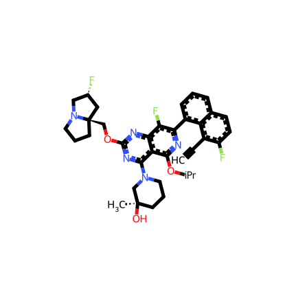 C#Cc1c(F)ccc2cccc(-c3nc(OC(C)C)c4c(N5CCC[C@@](C)(O)C5)nc(OC[C@@]56CCCN5C[C@H](F)C6)nc4c3F)c12